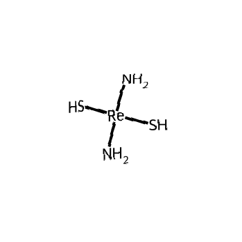 [NH2][Re]([NH2])([SH])[SH]